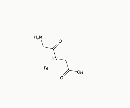 NCC(=O)NCC(=O)O.[Fe]